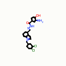 Nc1cc(C(=O)N/N=C/c2cccc3c2ccn3Cc2ccc(Cl)c(Cl)c2)ccc1O